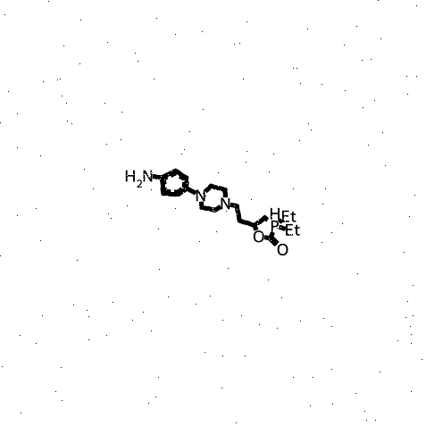 CC[PH]1(CC)CC(CCN2CCN(c3ccc(N)cc3)CC2)OC1=O